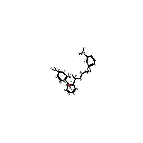 CNc1cccc(NCCC(Oc2cc(OC)ccc2C#N)c2ccccc2)c1